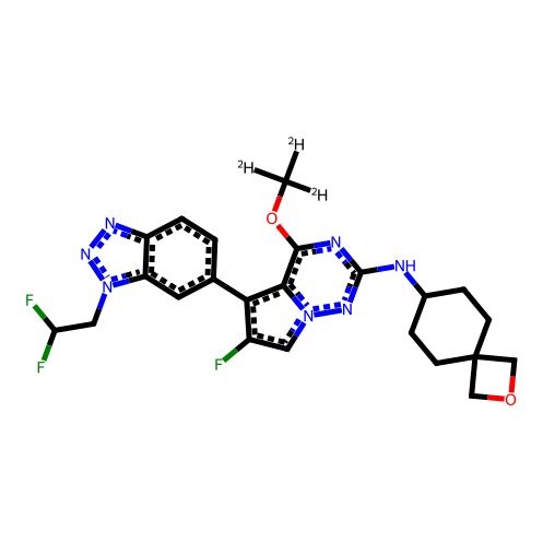 [2H]C([2H])([2H])Oc1nc(NC2CCC3(CC2)COC3)nn2cc(F)c(-c3ccc4nnn(CC(F)F)c4c3)c12